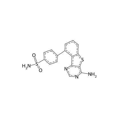 Nc1ncnc2c1sc1cccc(-c3ccc(S(N)(=O)=O)cc3)c12